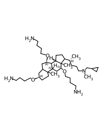 C[C@H](CCCN(C)CC1CC1)C1CC[C@H]2C3[C@H](OCCCCN)CC4C[C@H](OCCCCN)CCC4(C)[C@H]3C[C@H](OCCCCN)C12C